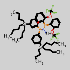 CCCC[Si](CCCC)(CCCC)c1cccc(P(c2cccc([Si](CCCC)(CCCC)CCCC)c2)N(C)P(c2ccccc2OC(F)(F)F)c2ccccc2OC(F)(F)F)c1